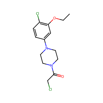 CCOc1cc(N2CCN(C(=O)CCl)CC2)ccc1Cl